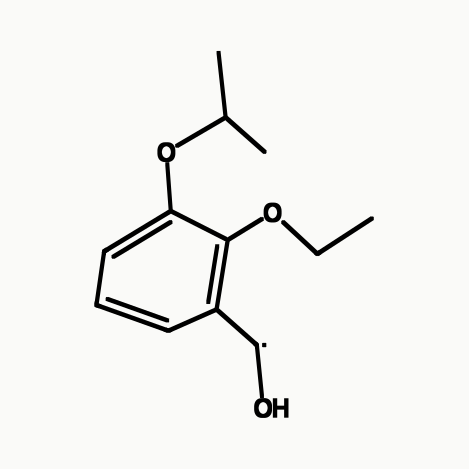 CCOc1c([CH]O)cccc1OC(C)C